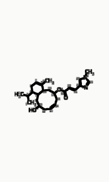 CC1=CCC(C(C)C)C2CC(O)C/C=C\CC(OC(=O)C=Cc3cn(C)cn3)CC12